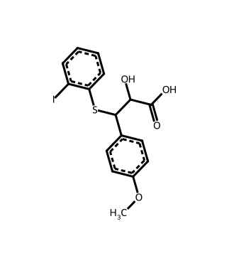 COc1ccc(C(Sc2ccccc2I)C(O)C(=O)O)cc1